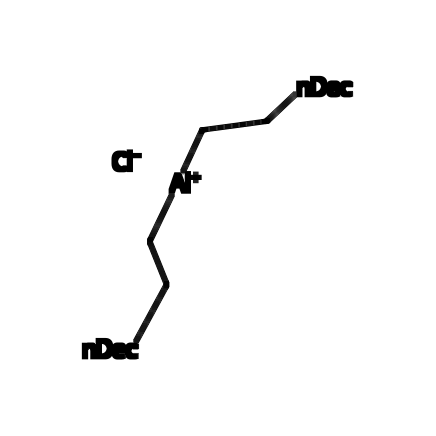 CCCCCCCCCCC[CH2][Al+][CH2]CCCCCCCCCCC.[Cl-]